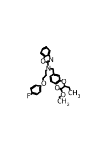 CCOC(=O)C(CC)Oc1cccc(CN(CCCOc2ccc(F)cc2)c2nc3ccccc3o2)c1